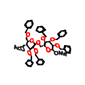 CO[C@H]1O[C@H](CO[C@@H]2O[C@H](COCc3ccccc3)[C@@H](COC(C)=O)[C@H](OCc3ccccc3)[C@H]2OCc2ccccc2)[C@@H](OCc2ccccc2)[C@H](OCc2ccccc2)[C@H]1OCc1ccccc1